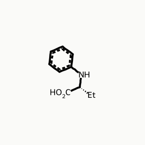 CC[C@@H](Nc1ccccc1)C(=O)O